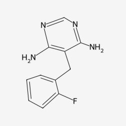 Nc1ncnc(N)c1Cc1ccccc1F